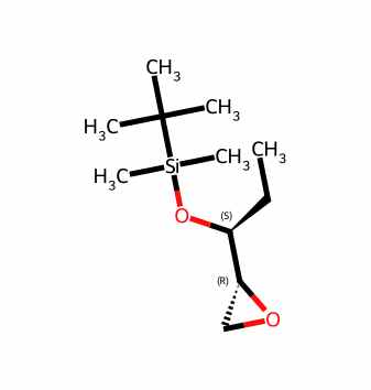 CC[C@H](O[Si](C)(C)C(C)(C)C)[C@H]1CO1